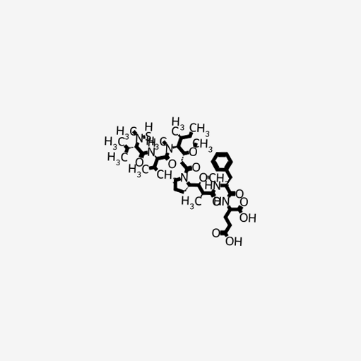 CC[C@H](C)[C@@H]([C@@H](CC(=O)N1CCC[C@H]1[C@H](OC)[C@@H](C)C(=O)N[C@@H](Cc1ccccc1)C(=O)NC(CCC(=O)O)C(=O)O)OC)N(C)C(=O)[C@@H](NC(=O)[C@H](C(C)C)N(C)S)C(C)C